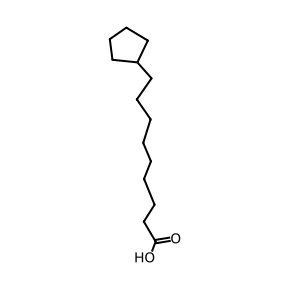 O=C(O)CCCCCCCCC1CCCC1